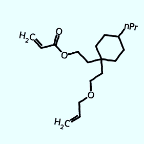 C=CCOCCC1(CCOC(=O)C=C)CCC(CCC)CC1